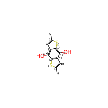 Cc1cc2c(O)c3sc(C)cc3c(O)c2s1